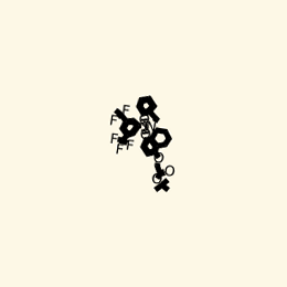 CC(C)(C)OC(=O)COc1cccc2c1CCCC2N(Cc1ccccc1)S(=O)(=O)c1cc(C(C)(F)F)cc(C(F)(F)F)c1